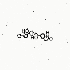 O=C1CCc2cc(C(O)CN3CCC(O)(c4ccc(Cl)s4)CC3)ccc2N1